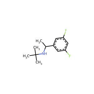 CC(NC(C)(C)C)c1cc(F)cc(F)c1